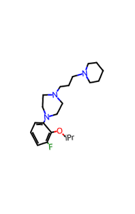 CC(C)Oc1c(F)cccc1N1CCN(CCCN2CCCCC2)CC1